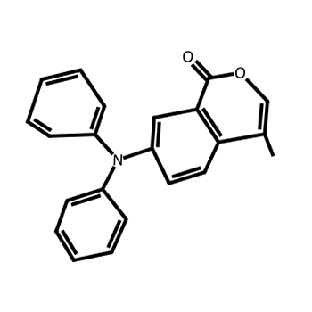 Cc1coc(=O)c2cc(N(c3ccccc3)c3ccccc3)ccc12